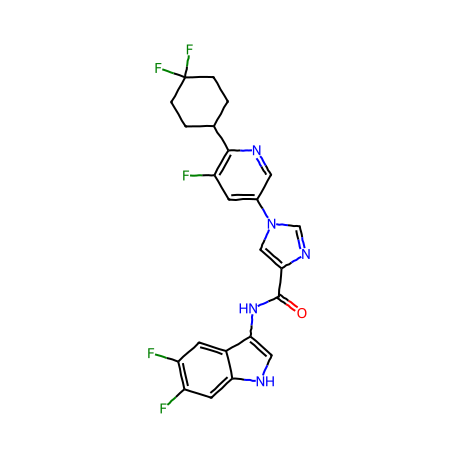 O=C(Nc1c[nH]c2cc(F)c(F)cc12)c1cn(-c2cnc(C3CCC(F)(F)CC3)c(F)c2)cn1